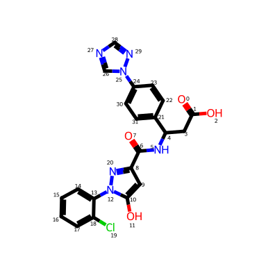 O=C(O)CC(NC(=O)c1cc(O)n(-c2ccccc2Cl)n1)c1ccc(-n2cncn2)cc1